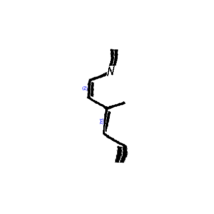 C=C/C=C(C)/C=C\N=C